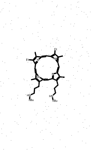 CCCCNCCCC1=C(C)c2cc3[nH]c(cc4nc(cc5[nH]c(cc1n2)c(CCCNCCCC)c5C)C(CC)=C4C)c(CC)c3C